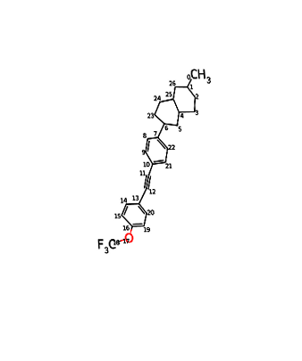 CC1CCC2CC(c3ccc(C#Cc4ccc(OC(F)(F)F)cc4)cc3)CCC2C1